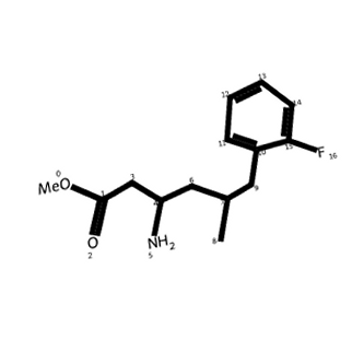 COC(=O)CC(N)CC(C)Cc1ccccc1F